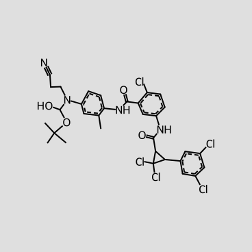 Cc1cc(N(CCC#N)C(O)OC(C)(C)C)ccc1NC(=O)c1cc(NC(=O)C2C(c3cc(Cl)cc(Cl)c3)C2(Cl)Cl)ccc1Cl